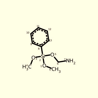 CO[Si](OC)(OCN)c1ccccc1